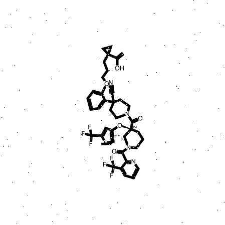 C=C(O)C1(CCCOc2ccccc2C2(C#N)CCN(C(=O)[C@]3(Oc4csc(C(F)(F)F)c4)CCCN(C(=O)c4ncccc4C(F)(F)F)[C@@H]3CCC)CC2)CC1